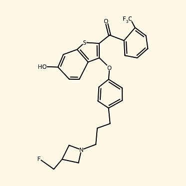 O=C(c1ccccc1C(F)(F)F)c1sc2cc(O)ccc2c1Oc1ccc(CCCN2CC(CF)C2)cc1